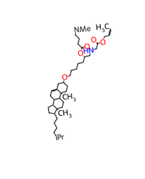 C/C=C\COC(=O)CNCC(CCCCCOC1CCC2(C)C(=CCC3C2CCC2(C)C(CCCCC(C)C)CCC32)C1)OC(=O)CCCNC